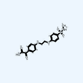 CNS(=O)(=O)c1ccc(OCCOc2ccc(C(=O)C(=O)O)cc2)cc1